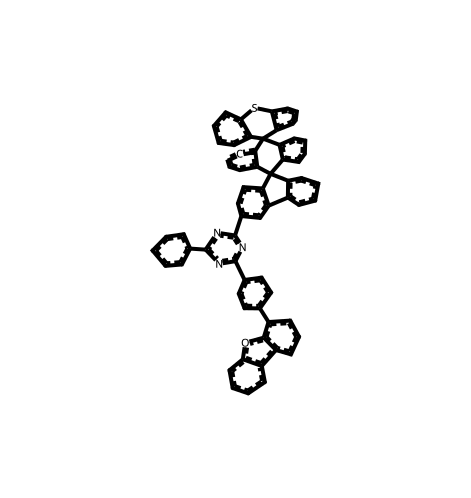 c1ccc(-c2nc(-c3ccc(-c4cccc5c4oc4ccccc45)cc3)nc(-c3ccc4c(c3)-c3ccccc3C43c4ccccc4C4(c5ccccc5Sc5ccccc54)c4ccccc43)n2)cc1